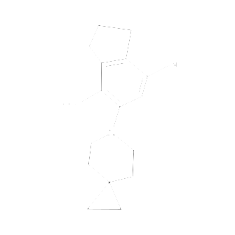 O=C(O)c1c(N2CCC3(CC2)CC3)cc(Br)c2c1CCC2